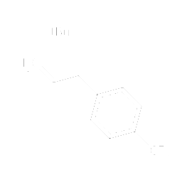 C=C[C@H](CC(C)(C)C)c1ccc(C(F)(F)F)cc1